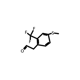 CSc1ccc(CC=O)c(C(F)(F)F)c1